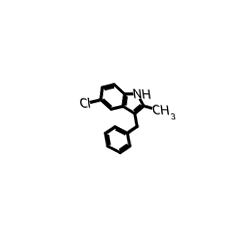 Cc1[nH]c2ccc(Cl)cc2c1Cc1ccccc1